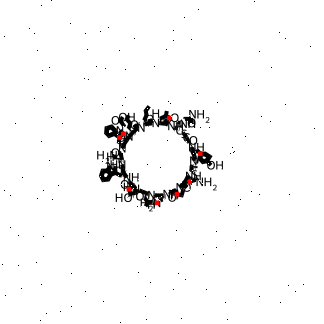 CCCC[C@H]1C(=O)N(C)[C@@H](CCCC)C(=O)N[C@@H](CC(C)C)C(=O)N[C@H](C(=O)NCC(N)=O)CSCC(=O)N[C@@H](Cc2ccc(O)cc2)C(=O)N(C)[C@@H](C)C2=S=C(N)C[C@H](N2)C(=O)N2CCC[C@H]2C(=O)N[C@@H](CN)C(=O)N[C@@H](CC(C)C)C(=O)N2C[C@H](O)C[C@H]2C(=O)N[C@@H](Cc2c[nH]c3ccccc23)C(=O)N[C@@H](CN)C(=O)N[C@@H](Cc2cn(CC(=O)O)c3ccccc23)C(=O)N1C